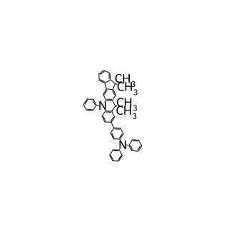 CC1(C)c2ccccc2-c2cc3c(cc21)C(C)(C)c1cc(-c2ccc(N(c4ccccc4)c4ccccc4)cc2)ccc1N3c1ccccc1